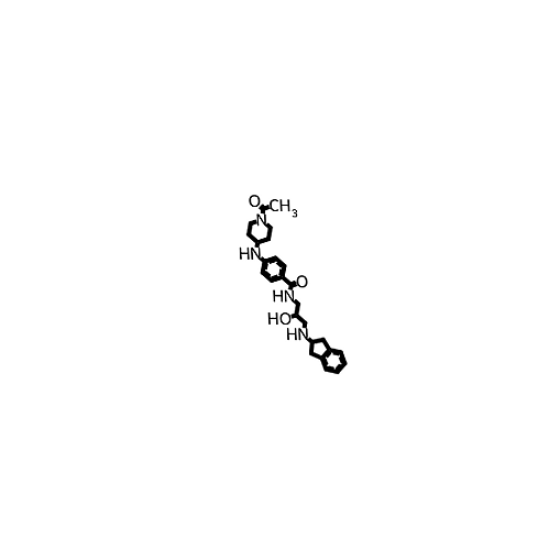 CC(=O)N1CCC(Nc2ccc(C(=O)NCC(O)CNC3Cc4ccccc4C3)cc2)CC1